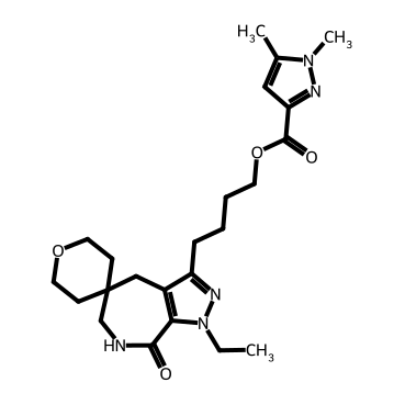 CCn1nc(CCCCOC(=O)c2cc(C)n(C)n2)c2c1C(=O)NCC1(CCOCC1)C2